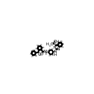 CN(C)c1nc(N[C@H]2CC[C@@H](CNC(=O)c3ccccc3C(=O)c3ccccc3)CC2)nc2ccccc12